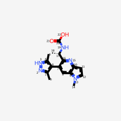 Cc1n[nH]c(C)c1-c1cc2c(ccn2C)nc1[C@H](C)NC(=O)O